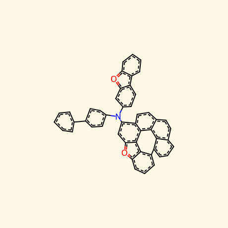 c1ccc(-c2ccc(N(c3ccc4c(c3)oc3ccccc34)c3cc4oc5cccc6c5c4c4c3ccc3ccc5cccc-6c5c34)cc2)cc1